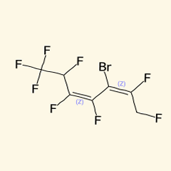 FC/C(F)=C(Br)\C(F)=C(\F)C(F)C(F)(F)F